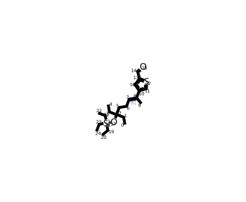 CCC(CC)(CC/C=C(\C)c1csc(C=O)c1)O[Si](CC)(CC)CC